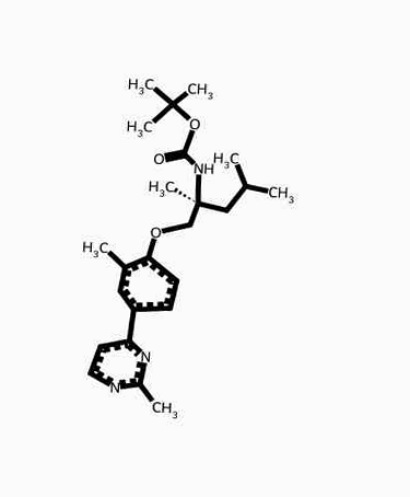 Cc1nccc(-c2ccc(OC[C@](C)(CC(C)C)NC(=O)OC(C)(C)C)c(C)c2)n1